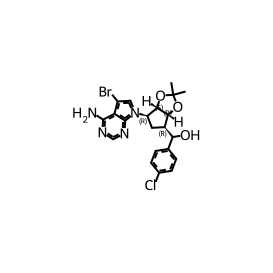 CC1(C)O[C@@H]2[C@H](O1)[C@@H](C(O)c1ccc(Cl)cc1)C[C@H]2n1cc(Br)c2c(N)ncnc21